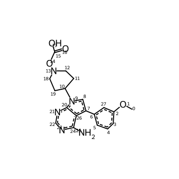 COc1cccc(-c2cn(C3CCN(OC(=O)O)CC3)c3ncnc(N)c23)c1